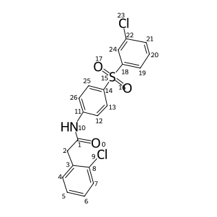 O=C(Cc1ccccc1Cl)Nc1ccc(S(=O)(=O)c2cccc(Cl)c2)cc1